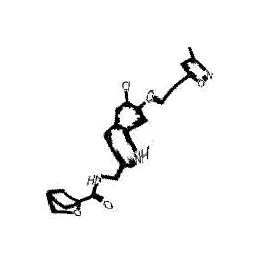 Cc1cc(COc2cc3[nH]c(CNC(=O)C45CC(CO4)C5)cc3cc2Cl)on1